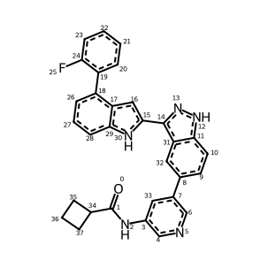 O=C(Nc1cncc(-c2ccc3[nH]nc(-c4cc5c(-c6ccccc6F)cccc5[nH]4)c3c2)c1)C1CCC1